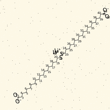 O=C([O-])CCCCCCCCCCCCCCCCCCSSCCCCCCCCCCCCCCCCCCC(=O)[O-].[Li+].[Li+]